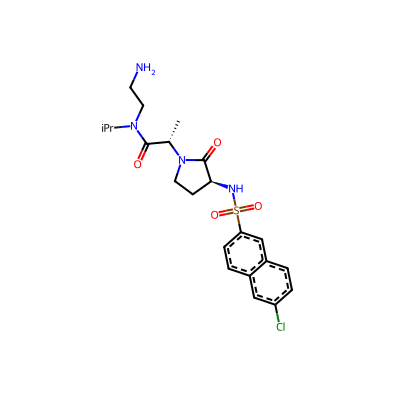 CC(C)N(CCN)C(=O)[C@H](C)N1CC[C@H](NS(=O)(=O)c2ccc3cc(Cl)ccc3c2)C1=O